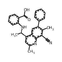 Cc1cc(C(C)Nc2ccccc2C(=O)O)c2cc(-c3ccccc3)c(C)c(C#N)c2n1